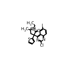 CCOC(=O)C(CC(C)C)(c1cccs1)c1nc(Cl)nc2ccc(I)cc12